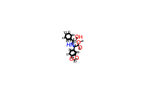 COC(=O)C(N[C@@H](CO)c1ccccc1)c1ccc2c(c1)OCO2